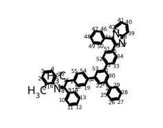 Cc1ccccc1/N=C(/c1ccccc1)C(C)c1ccc(-c2cc(-c3ccccc3)cc(-c3ccc(-c4nc5ccccn5c4-c4ccccc4)cc3)c2)cc1